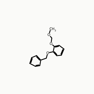 COCOc1ccccc1OCc1ccccc1